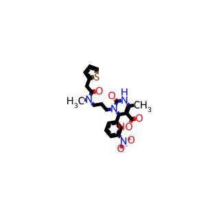 CC1=C(C(=O)O)C(c2cccc([N+](=O)[O-])c2)N(CCCN(C)C(=O)Cc2cccs2)C(=O)N1